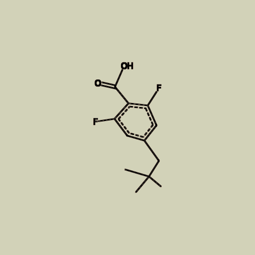 CC(C)(C)Cc1cc(F)c(C(=O)O)c(F)c1